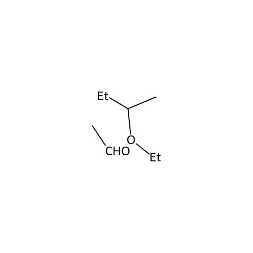 CC=O.CCOC(C)CC